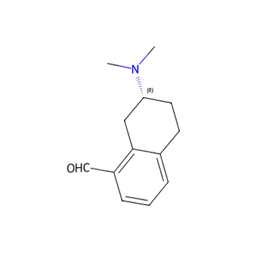 CN(C)[C@@H]1CCc2cccc(C=O)c2C1